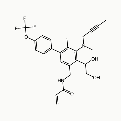 C=CC(=O)NCc1nc(-c2ccc(OC(F)(F)F)cc2)c(C)c(N(C)CC#CC)c1C(O)CO